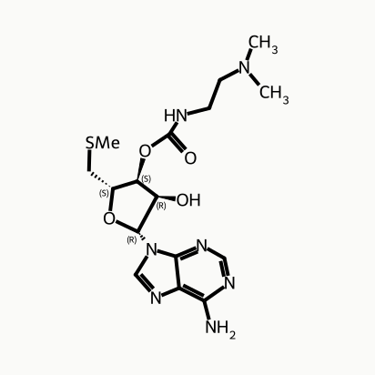 CSC[C@H]1O[C@@H](n2cnc3c(N)ncnc32)[C@H](O)[C@@H]1OC(=O)NCCN(C)C